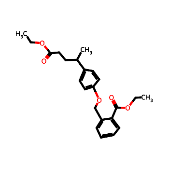 CCOC(=O)CCC(C)c1ccc(OCc2ccccc2C(=O)OCC)cc1